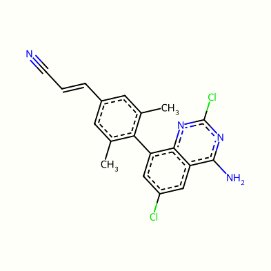 Cc1cc(/C=C/C#N)cc(C)c1-c1cc(Cl)cc2c(N)nc(Cl)nc12